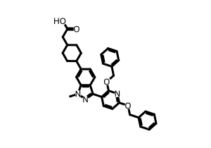 Cn1nc(-c2ccc(OCc3ccccc3)nc2OCc2ccccc2)c2ccc(C3CCC(CC(=O)O)CC3)cc21